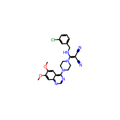 COc1cc2ncnc(N3CCN(C(NCc4cccc(Cl)c4)=C(C#N)C#N)CC3)c2cc1OC